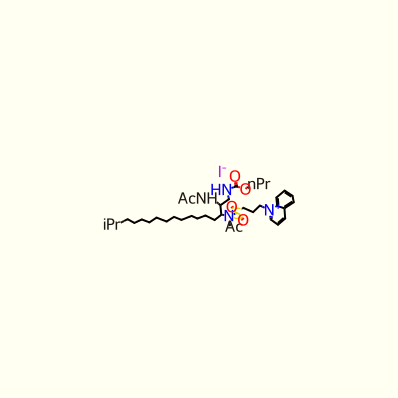 CCCOC(=O)NCC(NC(C)=O)C(CCCCCCCCCCCCC(C)C)N(C(C)=O)S(=O)(=O)CCC[n+]1cccc2ccccc21.[I-]